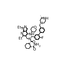 CCc1nc2c(cnn2CC)c(NC2CCOCC2)c1CN(Cc1ccc(F)c(-c2cccc(CN3CCN[C@@H](C)C3)c2)c1)C(=O)[C@H]1CCCC[C@H]1C(N)=O